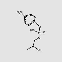 CC(O)COP(=O)(O)Oc1ccc([N+](=O)[O-])cc1